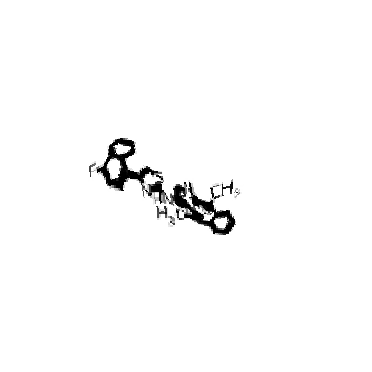 CC12CC(C)(C(=O)NC3=NC(c4ccc(F)c5ccccc45)CS3)C(c3ccccc31)n1ccnc12